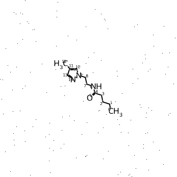 CCCCC(=O)NCCn1cc(C)cn1